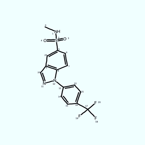 CNS(=O)(=O)c1ccc2c(cnn2-c2ccc(C(F)(F)F)cc2)c1